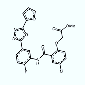 COC(=O)COc1ccc(Cl)cc1C(=O)Nc1cc(-c2nnc(-c3ccco3)o2)ccc1F